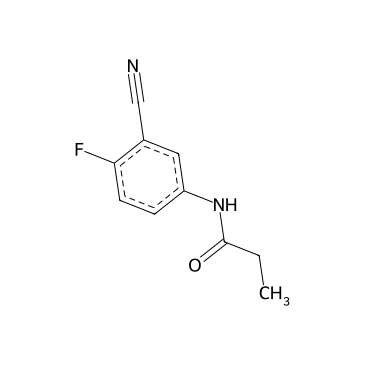 CCC(=O)Nc1ccc(F)c(C#N)c1